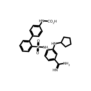 N=C(N)c1cccc(NC2CCCC2)c1.NS(=O)(=O)c1ccccc1-c1ccc(NC(=O)O)cc1